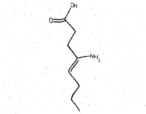 CCCC=C(N)CCC(=O)O